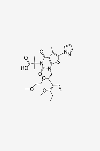 C=C/C(=C(\CC)OC)[C@H](Cn1c(=O)n(C(C)(C)C(=O)O)c(=O)c2c(C)c(-n3cccn3)sc21)OCCOC